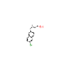 CC(CCO)Cc1ccc2cc(Br)ccc2c1